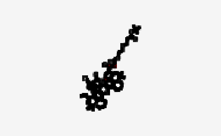 CCC1=CC(C)(C)N2CCCc3c4c(cc1c32)C1(c2cc3c5c(c2O4)CCCN5C(C)(C)C=C3CS(=O)(=O)O)c2c(Cl)ccc(Cl)c2C(=O)N1OCCOCCOCCOCCC(=O)OC(C)(C)C